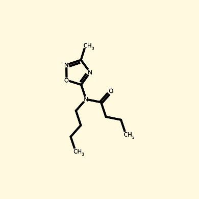 CCCCN(C(=O)CCC)c1nc(C)no1